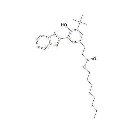 CCCCCCCCOC(=O)CCc1cc(-c2nc3ccccc3s2)c(O)c(C(C)(C)C)c1